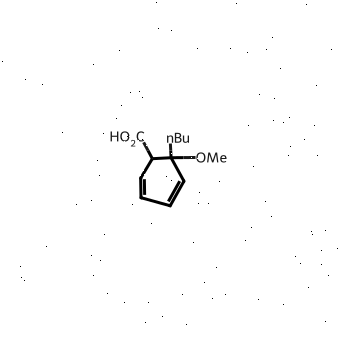 CCCCC1(OC)C=CC=CC1C(=O)O